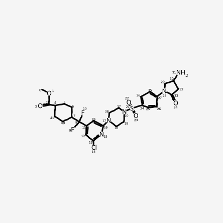 COC(=O)C1CCC(C(F)(F)c2cc(Cl)nc(N3CCN(S(=O)(=O)c4ccc(N5CC(N)CC5=O)cc4)CC3)c2)CC1